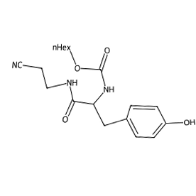 CCCCCCOC(=O)NC(Cc1ccc(O)cc1)C(=O)NCCC#N